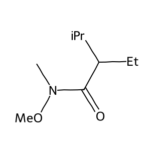 CCC(C(=O)N(C)OC)C(C)C